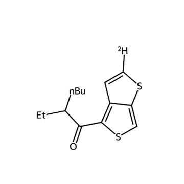 [2H]c1cc2c(C(=O)C(CC)CCCC)scc2s1